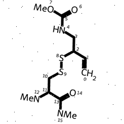 C=CC(CNC(=O)OC)SSCC(NC)C(=O)NC